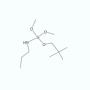 CCCN[Si](OC)(OC)OCC(C)(C)C